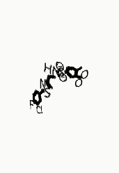 COC(=O)c1cc(S(=O)(=O)NCCc2csc(-c3ccc(F)c(Cl)c3)n2)ccc1C